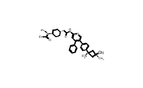 CCC(=O)N(C(C)C)[C@H]1CC[C@H](CC(=O)Nc2cc(-c3ccccc3)c(-c3ccc([C@]4(N)C[C@](C)(O)C4)cc3)cn2)CC1